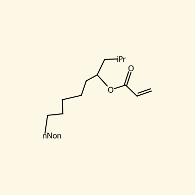 C=CC(=O)OC(CCCCCCCCCCCCCC)CC(C)C